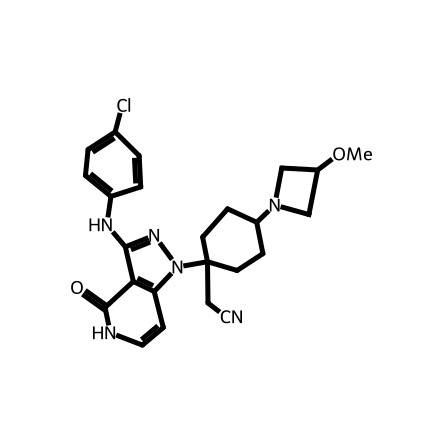 COC1CN(C2CCC(CC#N)(n3nc(Nc4ccc(Cl)cc4)c4c(=O)[nH]ccc43)CC2)C1